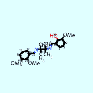 COc1cccc(/C=N/C(C)(C)C(C)(C)/N=C/c2cccc(OC)c2OC)c1O